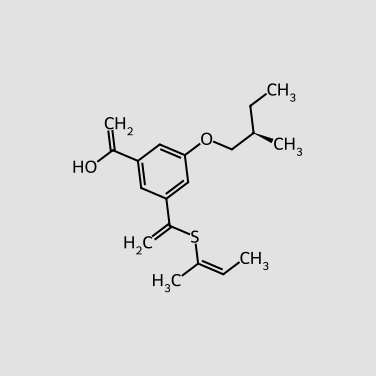 C=C(O)c1cc(OC[C@H](C)CC)cc(C(=C)S/C(C)=C\C)c1